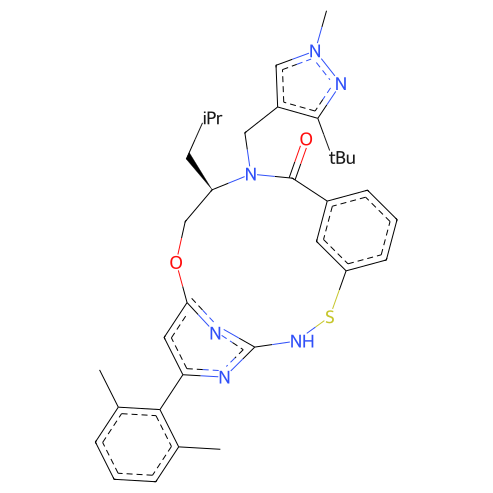 Cc1cccc(C)c1-c1cc2nc(n1)NSc1cccc(c1)C(=O)N(Cc1cn(C)nc1C(C)(C)C)[C@H](CC(C)C)CO2